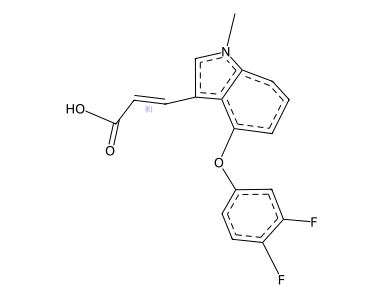 Cn1cc(/C=C/C(=O)O)c2c(Oc3ccc(F)c(F)c3)cccc21